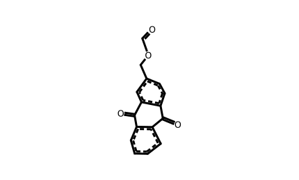 O=COCc1ccc2c(c1)C(=O)c1ccccc1C2=O